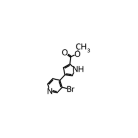 COC(=O)c1cc(-c2ccncc2Br)c[nH]1